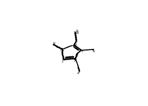 C[C]1C=C(C)C(C)=C1C